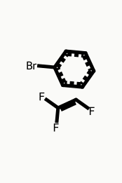 Brc1ccccc1.FC=C(F)F